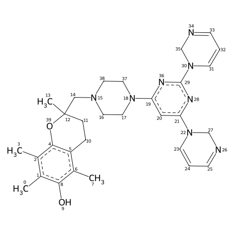 Cc1c(C)c2c(c(C)c1O)CCC(C)(CN1CCN(c3cc(N4C=CC=NC4)nc(N4C=CC=NC4)n3)CC1)O2